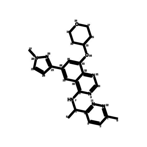 Cc1ccc(C(C)Nc2ncnc3c(OC4CCOCC4)cc(-c4ccn(C)n4)cc23)nn1